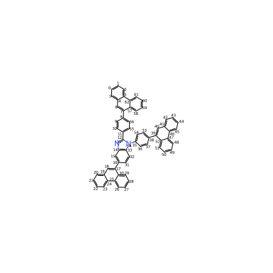 c1ccc2c(c1)cc(-c1ccc(-c3nc4cc(-c5cc6ccccc6c6ccccc56)ccc4n3-c3ccc(-c4cc5ccccc5c5ccccc45)cc3)cc1)c1ccccc12